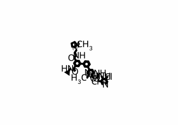 CCn1nc(-c2cccc(-c3cc(C(=O)NCC[C@H]4CCCN4C)cc(C(=O)NC4CC4)c3)c2)cc(NC(=O)Nc2c(Cl)cncc2Cl)c1=O